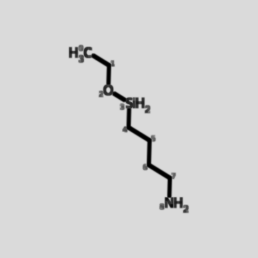 CCO[SiH2]CCCCN